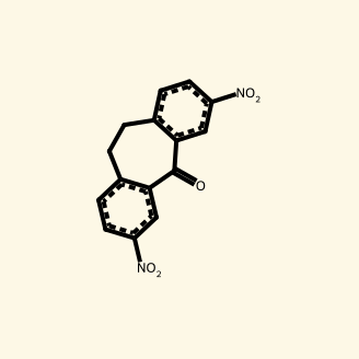 O=C1c2cc([N+](=O)[O-])ccc2CCc2ccc([N+](=O)[O-])cc21